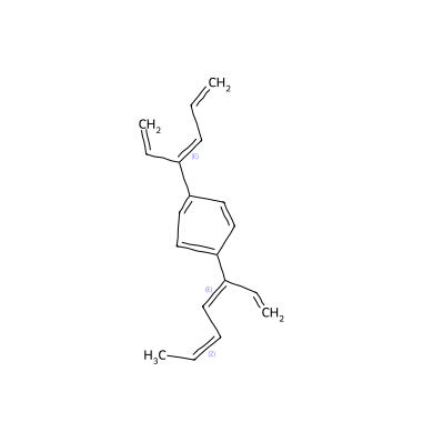 C=C/C=C(\C=C)c1ccc(/C(C=C)=C/C=C\C)cc1